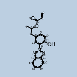 C=CC(=O)OC(C)Cc1ccc(O)c(-n2nc3ccccc3n2)c1